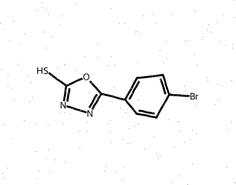 Sc1nnc(-c2ccc(Br)cc2)o1